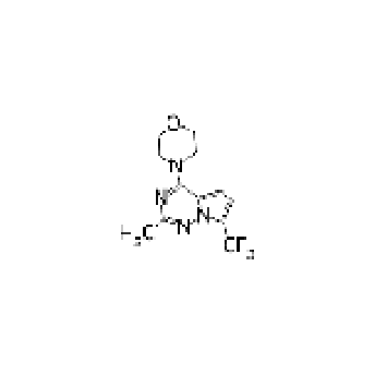 Cc1nc(N2CCOCC2)c2ccc(C(F)(F)F)n2n1